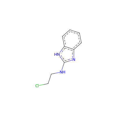 ClCCNc1nc2ccccc2[nH]1